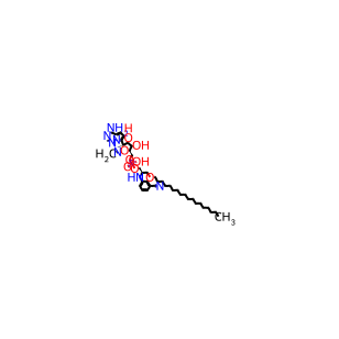 C=NC[C@@]1(c2ccc3c(N)ncnn23)O[C@H](COP(=O)(O)OC[C@@H](COCCCCCCCCCCCCCCCCCC)Nc2cccc(C#N)c2)[C@@H](O)[C@H]1O